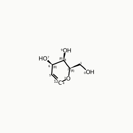 OC[C@H]1O[12CH]=C[C@@H](O)[C@H]1O